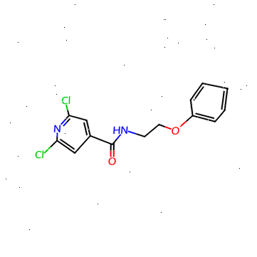 O=C(NCCOc1ccccc1)c1cc(Cl)nc(Cl)c1